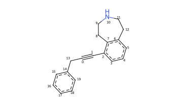 C(#Cc1cccc2c1CCNCC2)Cc1ccccc1